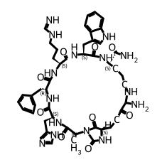 C[C@@H]1C(=O)N[C@@H](Cc2cnc[nH]2)C(=O)N[C@H](Cc2ccccc2)C(=O)N[C@@H](CCCNC=N)C(=O)N[C@@H](Cc2c[nH]c3ccccc23)C(=O)N[C@H](C(N)=O)CCCNC(N)C(=O)CC[C@@H]2NC(=O)N1C2=O